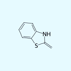 C=C1Nc2ccccc2S1